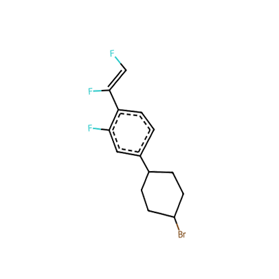 FC=C(F)c1ccc(C2CCC(Br)CC2)cc1F